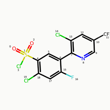 O=S(=O)(Cl)c1cc(-c2ncc(C(F)(F)F)cc2Cl)c(F)cc1Cl